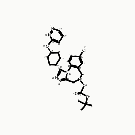 CC(C)(C)OC(=O)ON1Cc2cc(Cl)ccc2-n2c(nnc2[C@H]2CC[C@H](Oc3cccnn3)CC2)C1